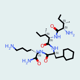 CC[C@H](C)[C@H](N)C(=O)N[C@H](C(=O)N[C@@H](CC1CCCCC1)C(=O)N[C@@H](CCCCN)C(N)=O)[C@@H](C)CC